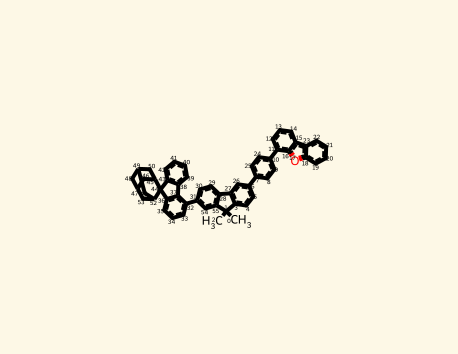 CC1(C)c2ccc(-c3ccc(-c4cccc5c4oc4ccccc45)cc3)cc2-c2ccc(-c3cccc4c3-c3ccccc3C43C4CC5CC(C4)CC3C5)cc21